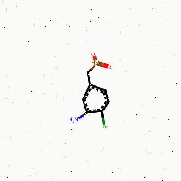 Nc1cc(C[SH](=O)=O)ccc1Br